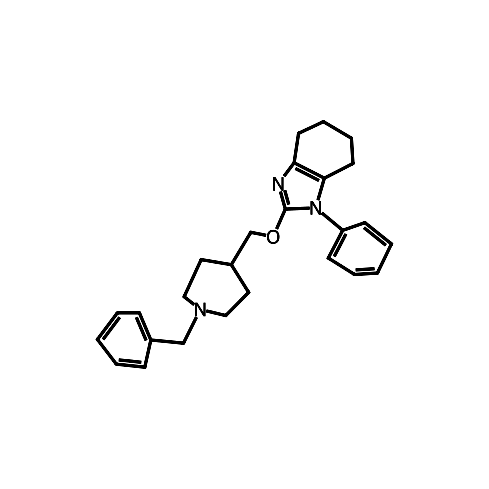 c1ccc(CN2CCC(COc3nc4c(n3-c3ccccc3)CCCC4)CC2)cc1